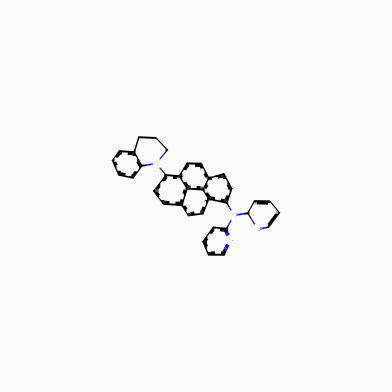 C1=CNC(N(c2ccccn2)c2ccc3ccc4c(N5CCCc6ccccc65)ccc5ccc2c3c54)C=C1